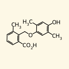 Cc1cc(OCc2c(C)cccc2C(=O)O)c(C)cc1O